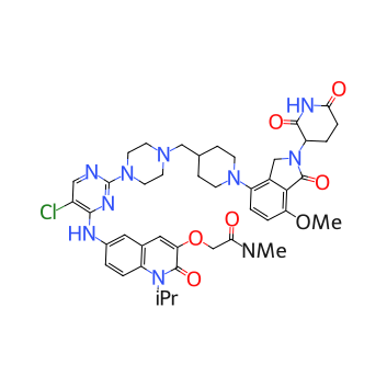 CNC(=O)COc1cc2cc(Nc3nc(N4CCN(CC5CCN(c6ccc(OC)c7c6CN(C6CCC(=O)NC6=O)C7=O)CC5)CC4)ncc3Cl)ccc2n(C(C)C)c1=O